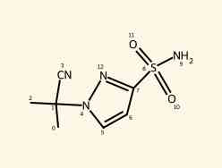 CC(C)(C#N)n1ccc(S(N)(=O)=O)n1